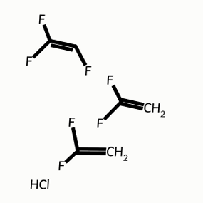 C=C(F)F.C=C(F)F.Cl.FC=C(F)F